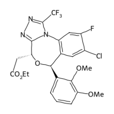 CCOC(=O)C[C@H]1O[C@H](c2cccc(OC)c2OC)c2cc(Cl)c(F)cc2-n2c1nnc2C(F)(F)F